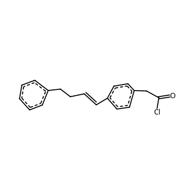 O=C(Cl)Cc1ccc(/C=C/CCc2ccccc2)cc1